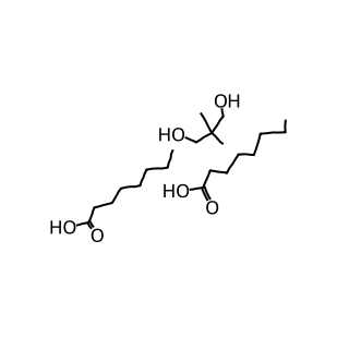 CC(C)(CO)CO.CCCCCCCC(=O)O.CCCCCCCC(=O)O